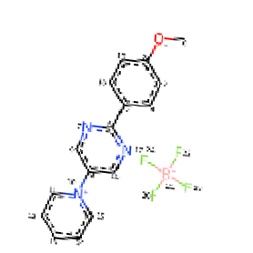 COc1ccc(-c2ncc(-[n+]3ccccc3)cn2)cc1.F[B-](F)(F)F